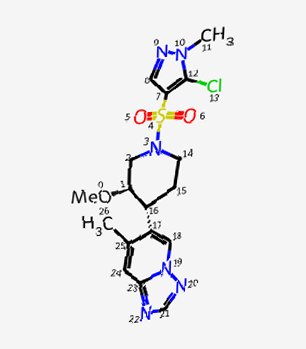 CO[C@H]1CN(S(=O)(=O)c2cnn(C)c2Cl)CC[C@@H]1c1cn2ncnc2cc1C